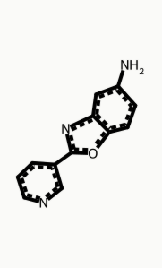 Nc1ccc2oc(-c3cccnc3)nc2c1